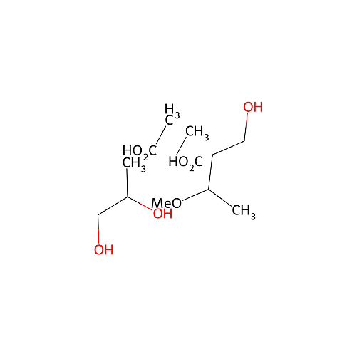 CC(=O)O.CC(=O)O.CC(O)CO.COC(C)CCO